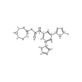 Cc1ccc(-c2nc(NC(=O)CN3CCCOCC3)cc(-c3nccs3)n2)o1